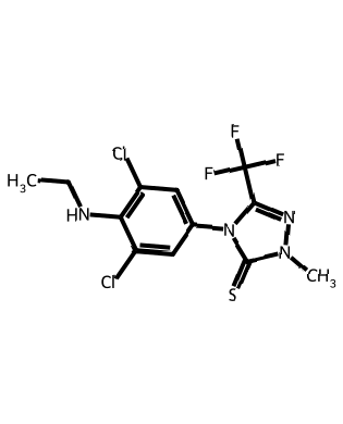 CCNc1c(Cl)cc(-n2c(C(F)(F)F)nn(C)c2=S)cc1Cl